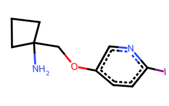 NC1(COc2ccc(I)nc2)CCC1